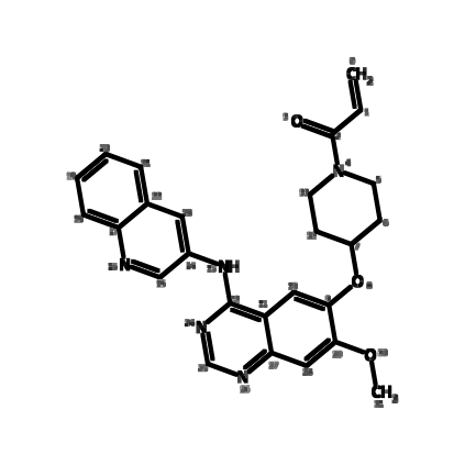 C=CC(=O)N1CCC(Oc2cc3c(Nc4cnc5ccccc5c4)ncnc3cc2OC)CC1